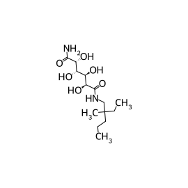 CCCC(C)(CC)CNC(=O)[C@@H](O)[C@H](O)[C@H](O)[C@@H](O)C(N)=O